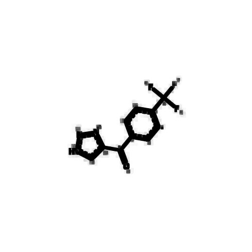 O=C(c1ccc(C(F)(F)F)cc1)c1c[nH]nn1